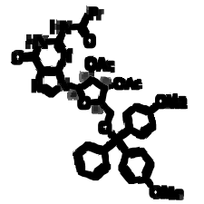 COc1ccc(C(OC[C@H]2O[C@@H](n3cnc4c(=O)[nH]c(NC(=O)C(C)C)nc43)[C@H](OC(C)=O)[C@@H]2OC(C)=O)(c2ccccc2)c2ccc(OC)cc2)cc1